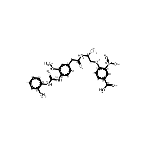 COc1cc(CC(=O)N[C@@H](C)COc2ccc(C(=O)O)cc2[N+](=O)[O-])ccc1NC(=O)Nc1ccccc1C